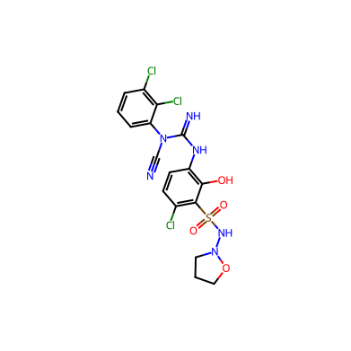 N#CN(C(=N)Nc1ccc(Cl)c(S(=O)(=O)NN2CCCO2)c1O)c1cccc(Cl)c1Cl